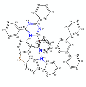 C1=CC2Sc3cccc(-c4ncc(-c5cc(-c6ccccc6)cc(-c6ccccc6)c5)cc4-c4nc(-c5ccccc5)nc(-c5ccccc5)n4)c3C2c2c1c1ccccc1n2-c1ccccc1